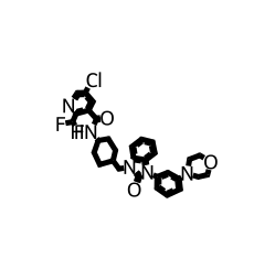 O=C(NC1CCC(Cn2c(=O)n(-c3cccc(N4CCOCC4)c3)c3ccccc32)CC1)c1cc(Cl)cnc1C(F)F